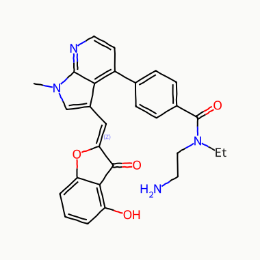 CCN(CCN)C(=O)c1ccc(-c2ccnc3c2c(/C=C2\Oc4cccc(O)c4C2=O)cn3C)cc1